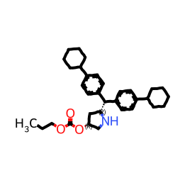 CCCOC(=O)O[C@H]1CN[C@@H](C(c2ccc(C3CCCCC3)cc2)c2ccc(C3CCCCC3)cc2)C1